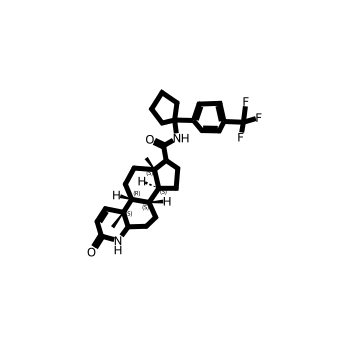 C[C@]12C=CC(=O)NC1CC[C@@H]1[C@H]2CC[C@]2(C)C(C(=O)NC3(c4ccc(C(F)(F)F)cc4)CCCC3)CC[C@@H]12